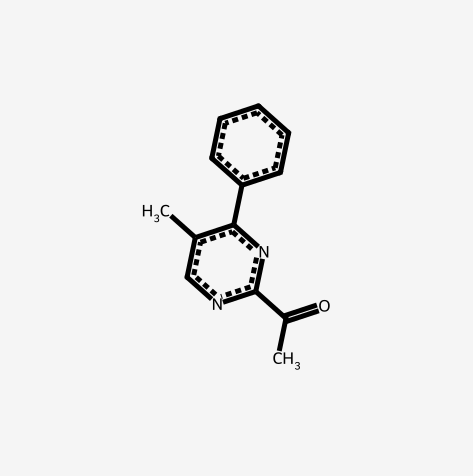 CC(=O)c1ncc(C)c(-c2ccccc2)n1